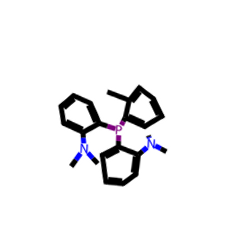 Cc1ccccc1P(c1ccccc1N(C)C)c1ccccc1N(C)C